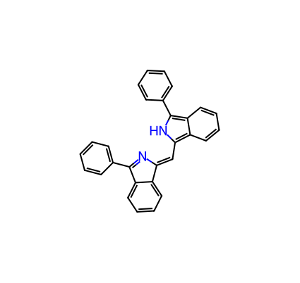 C(=C1/N=C(c2ccccc2)c2ccccc21)/c1[nH]c(-c2ccccc2)c2ccccc12